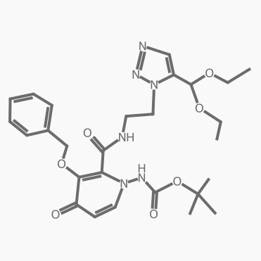 CCOC(OCC)c1cnnn1CCNC(=O)c1c(OCc2ccccc2)c(=O)ccn1NC(=O)OC(C)(C)C